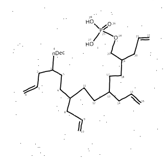 C=CCC(CCCCCCCCCC)CCC(CC=C)CCC(CC=C)CCC(CC=C)COP(=O)(O)O